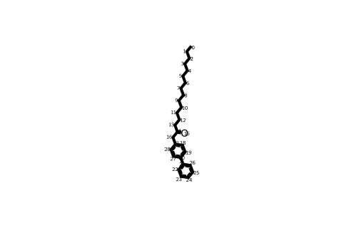 CCCCCCCCCCCCCCC(=O)Cc1ccc(-c2ccccc2)cc1